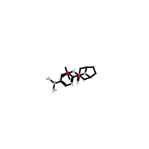 CC(C)(C)OC(=O)N1C2CCC1CN(c1ccc(B(O)O)cn1)C2